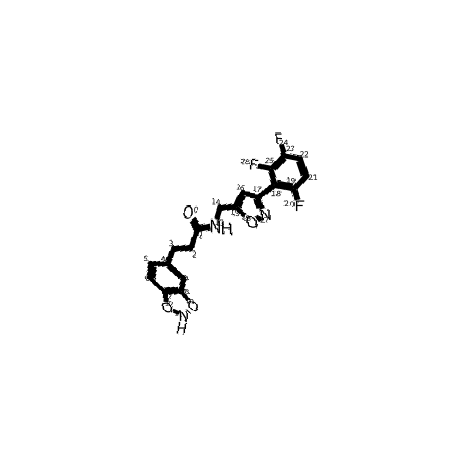 O=C(CCc1ccc2c(c1)ONO2)NCc1cc(-c2c(F)ccc(F)c2F)no1